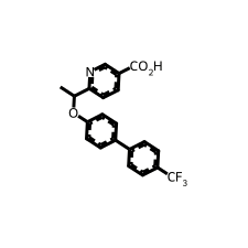 CC(Oc1ccc(-c2ccc(C(F)(F)F)cc2)cc1)c1ccc(C(=O)O)cn1